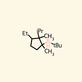 CCC1CCC(C)(BC(C)(C)C)C1(C)C(C)C